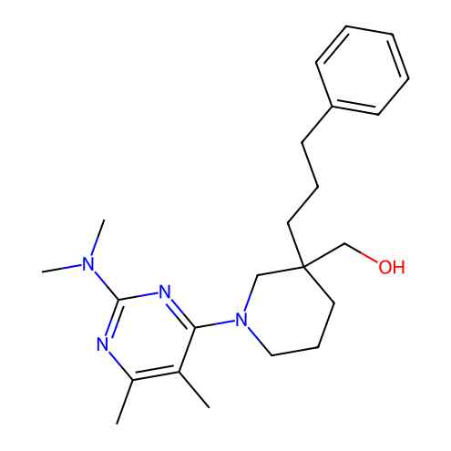 Cc1nc(N(C)C)nc(N2CCCC(CO)(CCCc3ccccc3)C2)c1C